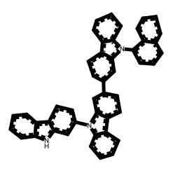 c1ccc2c(-n3c4ccccc4c4ccc(-c5ccc6c7ccccc7n(-c7ccc8c(c7)[nH]c7ccccc78)c6c5)cc43)cccc2c1